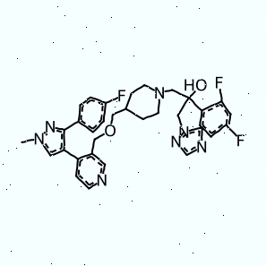 Cn1cc(-c2ccncc2COCC2CCN(CC(O)(Cn3cncn3)c3ccc(F)cc3F)CC2)c(-c2ccc(F)cc2)n1